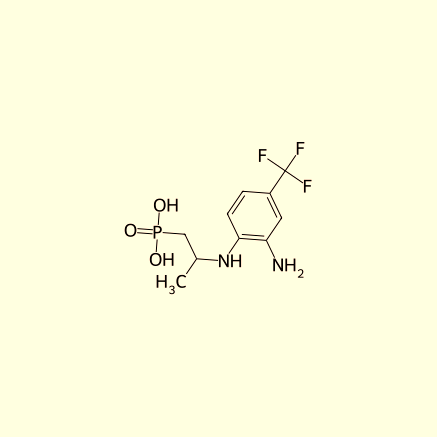 CC(CP(=O)(O)O)Nc1ccc(C(F)(F)F)cc1N